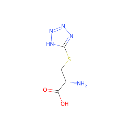 N[C@@H](CSc1nnn[nH]1)C(=O)O